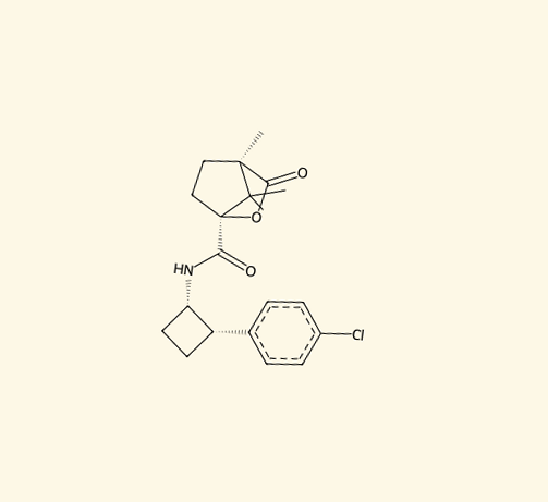 CC1(C)[C@@]2(C)CC[C@]1(C(=O)N[C@H]1CC[C@H]1c1ccc(Cl)cc1)OC2=O